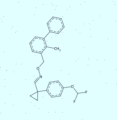 Cc1c(CO/N=C/C2(c3ccc(OC(F)F)cc3)CC2)cccc1-c1ccccc1